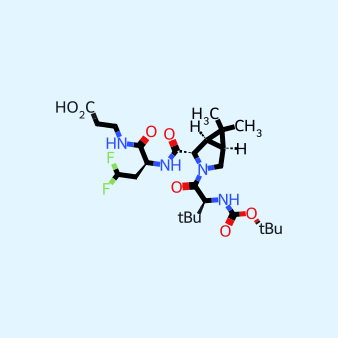 CC(C)(C)OC(=O)N[C@H](C(=O)N1C[C@H]2[C@@H]([C@H]1C(=O)N[C@@H](CC(F)F)C(=O)NCCC(=O)O)C2(C)C)C(C)(C)C